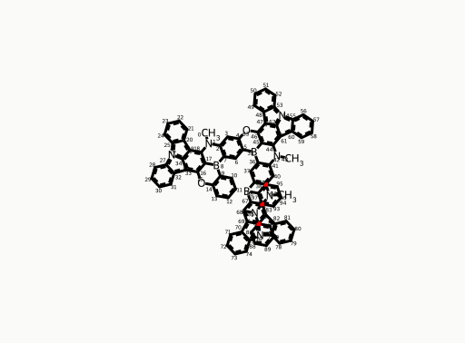 CN1c2cc3c(cc2B2c4ccccc4Oc4c2c1c1c2ccccc2n2c5ccccc5c4c12)B1c2cc4c(cc2N(C)c2c1c(c1c5ccccc5n5c6ccccc6c2c15)O3)N(C)c1c2c(c3c5ccccc5n5c6ccccc6c1c35)N(c1ccccc1)c1ccccc1B42